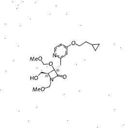 COCO[C@@]1(Cc2cc(OCCC3CC3)ccn2)C(=O)N(COC)[C@H]1CO